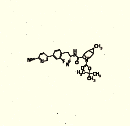 C[C@H]1C2C3CC(C21)N(C(=O)OC(C)(C)C)C3C(=O)N[C@H](C#N)Cc1ccc(-c2ccc(C#N)nc2)cc1F